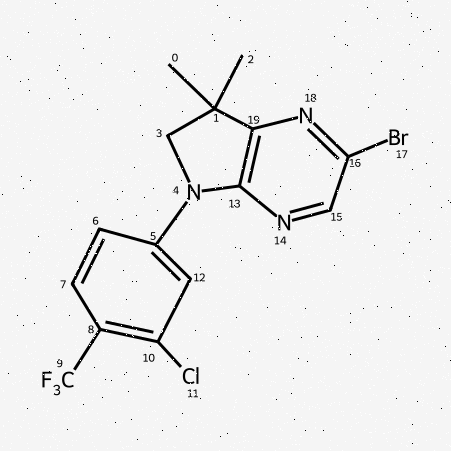 CC1(C)CN(c2ccc(C(F)(F)F)c(Cl)c2)c2ncc(Br)nc21